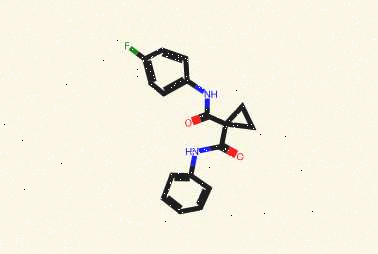 O=C(Nc1ccccc1)C1(C(=O)Nc2ccc(F)cc2)CC1